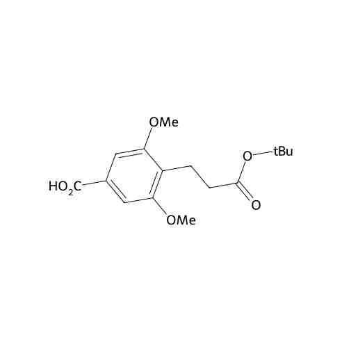 COc1cc(C(=O)O)cc(OC)c1CCC(=O)OC(C)(C)C